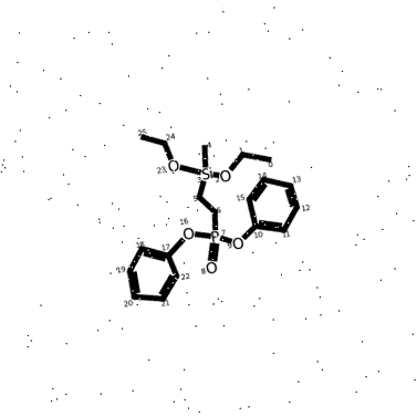 CCO[Si](C)(CCP(=O)(Oc1ccccc1)Oc1ccccc1)OCC